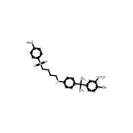 COc1ccc(S(=O)(=O)CCCCOc2ccc(C(C)(C)c3ccc(O)c(C(=O)O)c3)cc2)cc1